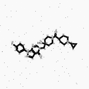 O=C(C1CCN(C2CC2)CC1)N1CCC(O)(Cn2cnc3c(cnn3-c3ccc(F)cc3)c2=O)CC1